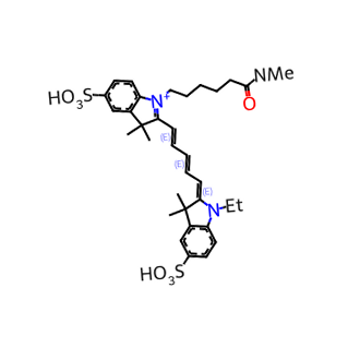 CCN1/C(=C/C=C/C=C/C2=[N+](CCCCCC(=O)NC)c3ccc(S(=O)(=O)O)cc3C2(C)C)C(C)(C)c2cc(S(=O)(=O)O)ccc21